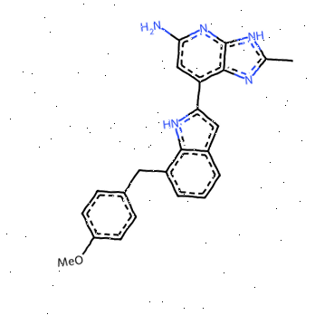 COc1ccc(Cc2cccc3cc(-c4cc(N)nc5[nH]c(C)nc45)[nH]c23)cc1